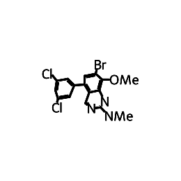 CNc1ncc2c(-c3cc(Cl)cc(Cl)c3)cc(Br)c(OC)c2n1